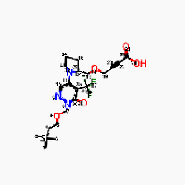 C[Si](C)(C)CCOCn1ncc(N2CCC[C@H]2COCC#CC(=O)O)c(C(F)(F)F)c1=O